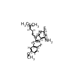 COc1ccc(I)c(Sc2nc3c(N)nc(F)nc3n2CCC=C(C)C)c1